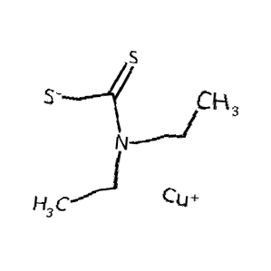 CCN(CC)C(=S)[S-].[Cu+]